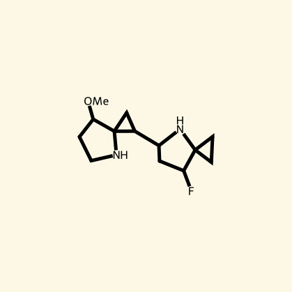 COC1CCNC12CC2C1CC(F)C2(CC2)N1